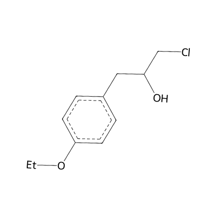 CCOc1ccc(CC(O)CCl)cc1